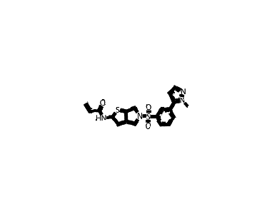 C=CC(=O)NC1CC2CN(S(=O)(=O)c3cccc(-c4ccnn4C)c3)CC2S1